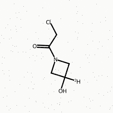 [2H]C1(O)CN(C(=O)CCl)C1